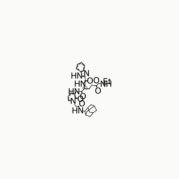 CCNC(=O)C(=O)CC[C@H](NC(=O)c1nc2ccccc2[nH]1)C(=O)Nc1cccn(CC(=O)NC2C3CC4CC(C3)CC2C4)c1=O